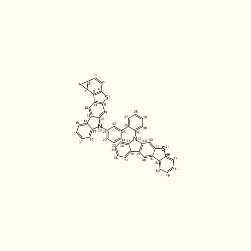 C1=CC2CC2c2c1sc1cc3c(cc21)c1ccccc1n3-c1cccc(-c2ccccc2-n2c3ccccc3c3cc4c(cc32)sc2ccccc24)c1